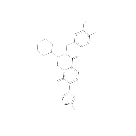 Cc1cn(-c2ccc3n(c2=O)CC(C2CCOCC2)N(Cc2ccc(Cl)c(Cl)c2)C3=O)cn1